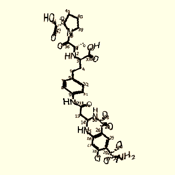 C[C@H](NC(CCc1ccc(NC(=O)CC2Nc3cc(Cl)c(S(N)(=O)=O)cc3S(=O)(=O)N2)cc1)C(=O)O)C(=O)N1CCC[C@H]1C(=O)O